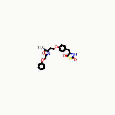 Cc1oc(COc2ccccc2)nc1CCOc1ccc(CC2NC(=O)SC2=O)cc1